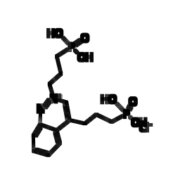 O=P(O)(O)CCCc1c[n+](CCCP(=O)(O)O)nc2ccccc12.[Cl-]